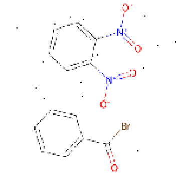 O=C(Br)c1ccccc1.O=[N+]([O-])c1ccccc1[N+](=O)[O-]